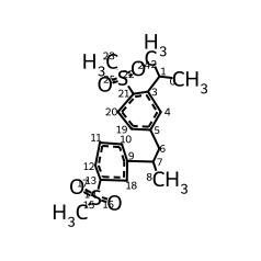 CC(C)c1cc(CC(C)c2cccc(S(C)(=O)=O)c2)ccc1S(C)(=O)=O